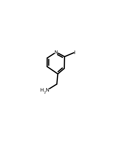 NCc1ccnc(I)c1